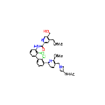 COCc1cc(C(=O)Nc2cccc(-c3cccc(-c4ccc(CN5CC(NC(C)=O)C5)c(OC)n4)c3Cl)c2Cl)ncc1CO